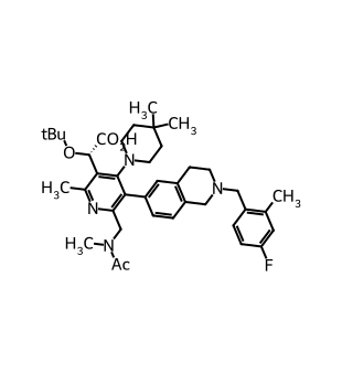 CC(=O)N(C)Cc1nc(C)c([C@H](OC(C)(C)C)C(=O)O)c(N2CCC(C)(C)CC2)c1-c1ccc2c(c1)CCN(Cc1ccc(F)cc1C)C2